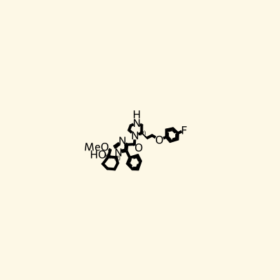 COC[C@]1(O)CCCC[C@H]1n1cnc(C(=O)N2CCNC[C@H]2CCOc2ccc(F)cc2)c1-c1ccccc1